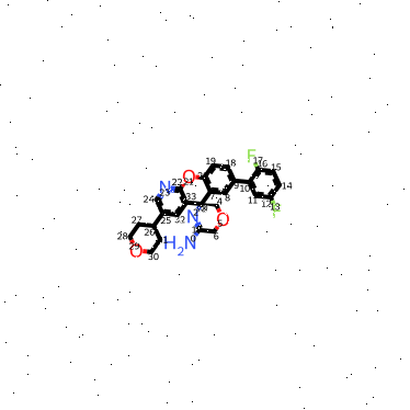 NC1=N[C@@]2(COC1)c1cc(-c3cc(F)ccc3F)ccc1Oc1ncc(C3CCOCC3)cc12